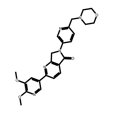 COc1cc(-c2ccc3c(n2)CN(c2ccc(CN4CCOCC4)nc2)C3=O)cnc1OC